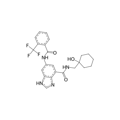 O=C(Nc1cc(C(=O)NCC2(O)CCCCC2)c2nc[nH]c2c1)c1ccccc1C(F)(F)F